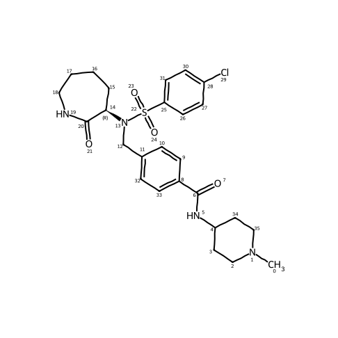 CN1CCC(NC(=O)c2ccc(CN([C@@H]3CCCCNC3=O)S(=O)(=O)c3ccc(Cl)cc3)cc2)CC1